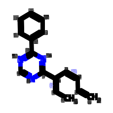 C=C/C=C\C(=C/C)c1ncnc(-c2ccccc2)n1